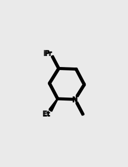 CC[C@H]1CC(C(C)C)CCN1C